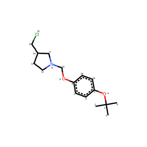 CC(C)(C)Oc1ccc(OCN2CCC(CCl)C2)cc1